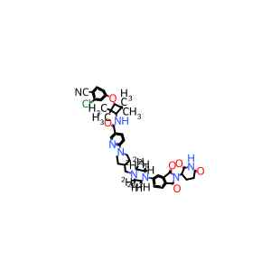 [2H]C1([2H])N(CC2CCN(c3ccc(C(=O)NC4C(C)(C)C(Oc5ccc(C#N)c(Cl)c5)C4(C)C)cn3)CC2)C([2H])([2H])C([2H])([2H])N(c2ccc3c(c2)C(=O)N(C2CCC(=O)NC2=O)C3=O)C1([2H])[2H]